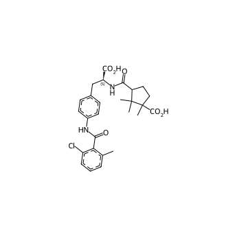 Cc1cccc(Cl)c1C(=O)Nc1ccc(C[C@H](NC(=O)C2CCC(C)(C(=O)O)C2(C)C)C(=O)O)cc1